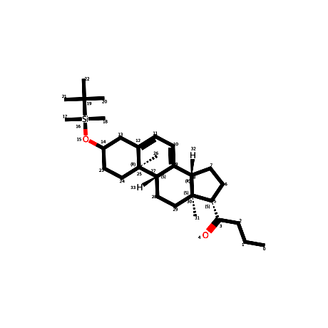 CCCC(=O)[C@H]1CC[C@H]2C3=CC=C4CC(O[Si](C)(C)C(C)(C)C)CC[C@]4(C)[C@H]3CC[C@]12C